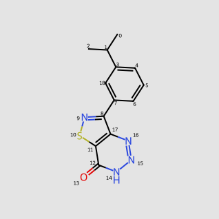 CC(C)c1cccc(-c2nsc3c(=O)[nH]nnc23)c1